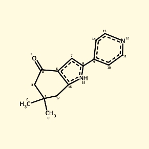 CC1(C)CC(=O)c2cc(-c3ccncc3)[nH]c2C1